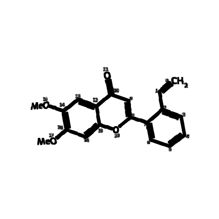 C=Cc1ccccc1-c1cc(=O)c2cc(OC)c(OC)cc2o1